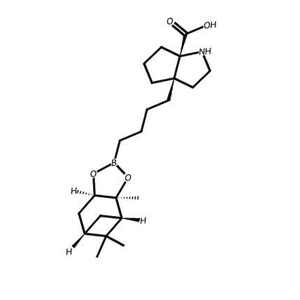 CC1(C)[C@@H]2C[C@H]3OB(CCCC[C@@]45CCC[C@]4(C(=O)O)NCC5)O[C@@]3(C)[C@H]1C2